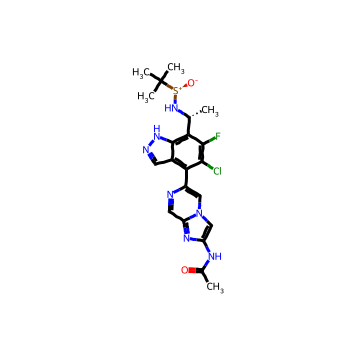 CC(=O)Nc1cn2cc(-c3c(Cl)c(F)c([C@@H](C)N[S@+]([O-])C(C)(C)C)c4[nH]ncc34)ncc2n1